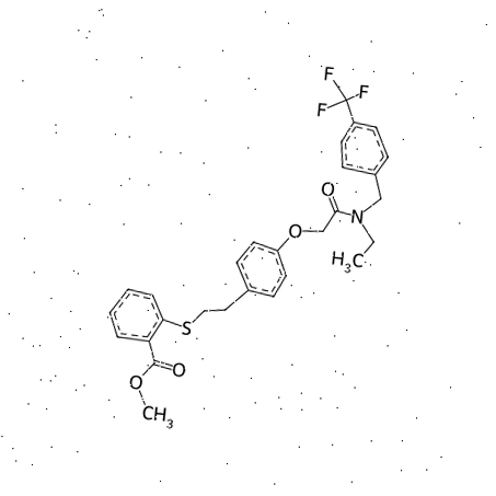 CCN(Cc1ccc(C(F)(F)F)cc1)C(=O)COc1ccc(CCSc2ccccc2C(=O)OC)cc1